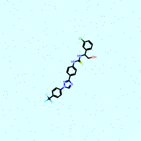 OCC(NC(=S)Nc1ccc(-c2ncn(-c3ccc(C(F)(F)F)cc3)n2)cc1)c1cccc(Cl)c1